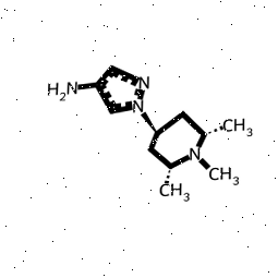 C[C@@H]1C[C@@H](n2cc(N)cn2)C[C@H](C)N1C